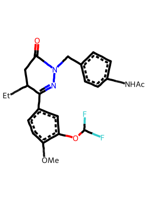 CCC1CC(=O)N(Cc2ccc(NC(C)=O)cc2)N=C1c1ccc(OC)c(OC(F)F)c1